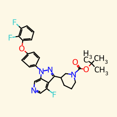 CC(C)(C)OC(=O)N1CCCC(c2nn(-c3ccc(Oc4cccc(F)c4F)cc3)c3cncc(F)c23)C1